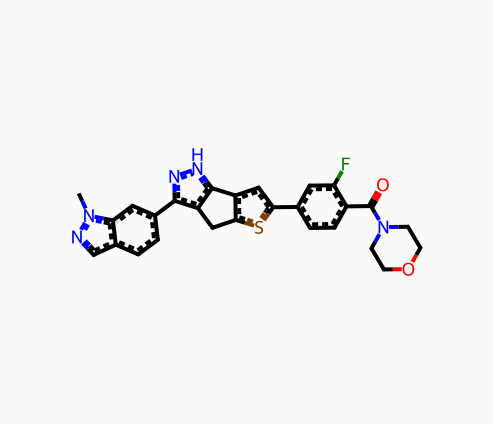 Cn1ncc2ccc(-c3n[nH]c4c3Cc3sc(-c5ccc(C(=O)N6CCOCC6)c(F)c5)cc3-4)cc21